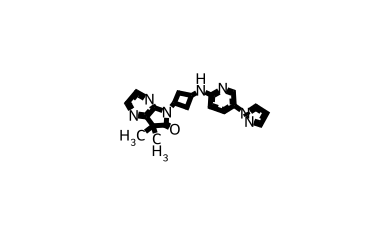 CC1(C)C(=O)N(C2CC(Nc3ccc(-n4cccn4)cn3)C2)c2nccnc21